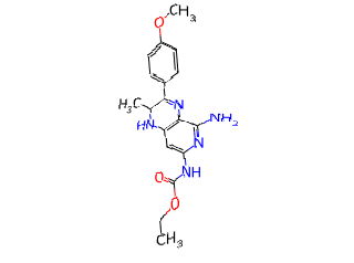 CCOC(=O)Nc1cc2c(c(N)n1)N=C(c1ccc(OC)cc1)C(C)N2